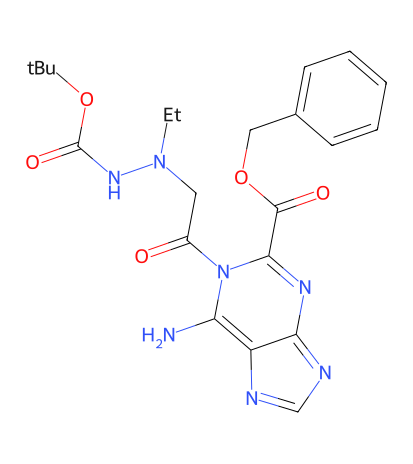 CCN(CC(=O)n1c(C(=O)OCc2ccccc2)nc2ncnc-2c1N)NC(=O)OC(C)(C)C